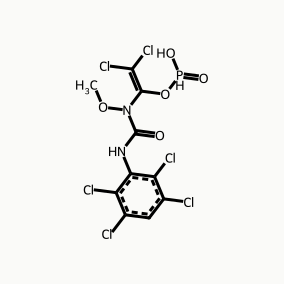 CON(C(=O)Nc1c(Cl)c(Cl)cc(Cl)c1Cl)C(O[PH](=O)O)=C(Cl)Cl